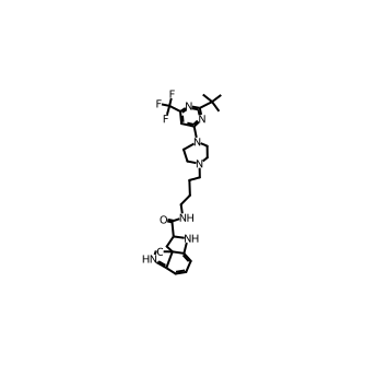 CC(C)(C)c1nc(N2CCN(CCCCNC(=O)C3CC45CCNC=C4C=CC=C5N3)CC2)cc(C(F)(F)F)n1